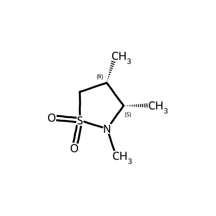 C[C@H]1CS(=O)(=O)N(C)[C@H]1C